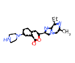 CCc1nc(C)cn2cc(-c3cc4ccc(N5CCNCC5)cc4c(=O)o3)nc12